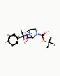 CC(C)(C)OC(=O)N1CC2CC(=O)C1N2C(C)(C)c1ccccc1